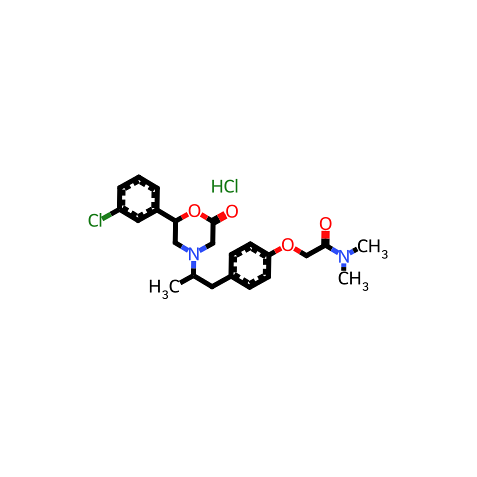 CC(Cc1ccc(OCC(=O)N(C)C)cc1)N1CC(=O)OC(c2cccc(Cl)c2)C1.Cl